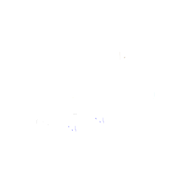 CC(C)(C)NC(=S)Nc1cc(Br)cc(F)c1O